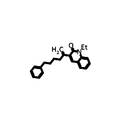 C=C(CCCCc1ccccc1)c1cc2ccccc2n(CC)c1=O